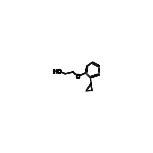 OCCOc1ccccc1C1CC1